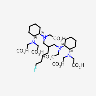 O=C(O)CN(CC(=O)O)[C@@H]1CCCC[C@H]1N(CC(=O)O)CC(CCCCF)CN(CC(=O)O)[C@H]1CCCC[C@@H]1N(CC(=O)O)CC(=O)O